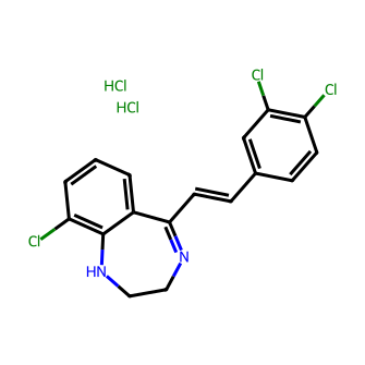 Cl.Cl.Clc1ccc(/C=C/C2=NCCNc3c(Cl)cccc32)cc1Cl